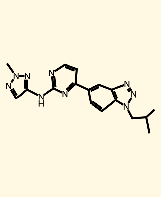 CC(C)Cn1nnc2cc(-c3ccnc(Nc4cnn(C)n4)n3)ccc21